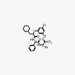 CC(C)[C@H](NC(=O)[C@@H](NC(=O)C(CC1CCCCC1)Oc1cc(Cl)cc(Cl)c1)c1ccccc1)C(=O)C(F)(F)F